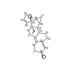 C[C@]12CCC3C4CCC(=O)C=C4CCC3C1C1CC1[C@@]21C=CCO1